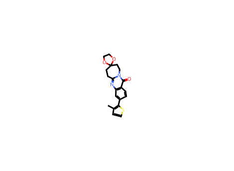 Cc1ccsc1-c1ccc2c(=O)n3c(nc2c1)CCC1(CC3)OCCO1